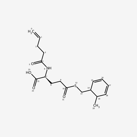 C=CCCC(=O)N[C@@H](CCC(=O)SCC1C=CC=CC1C)C(=O)O